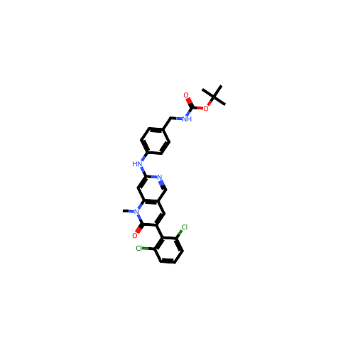 Cn1c(=O)c(-c2c(Cl)cccc2Cl)cc2cnc(Nc3ccc(CNC(=O)OC(C)(C)C)cc3)cc21